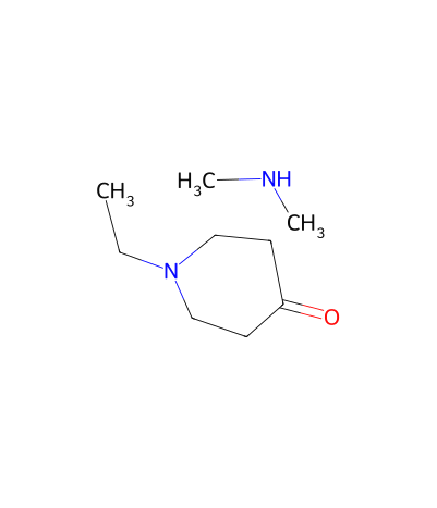 CCN1CCC(=O)CC1.CNC